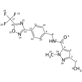 CCc1cc(C(=O)NCc2ccc(-c3noc(C(F)(F)F)n3)cc2)n(C)n1